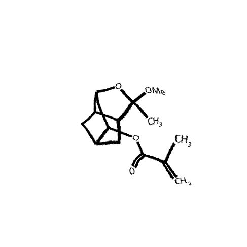 C=C(C)C(=O)OC1C2CC3C1OC(C)(OC)C3C2